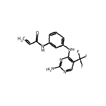 C=CC(=O)Nc1cccc(Nc2nc(N)ncc2C(F)(F)F)c1